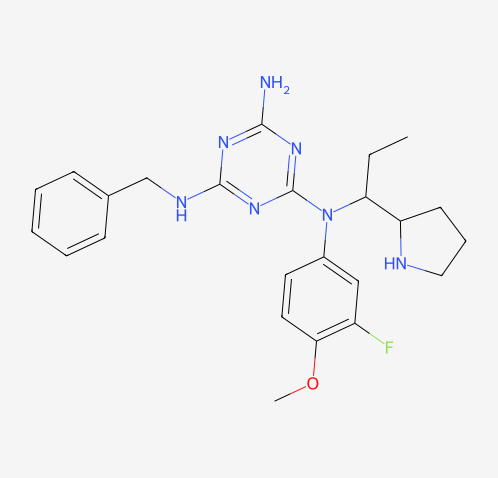 CCC(C1CCCN1)N(c1ccc(OC)c(F)c1)c1nc(N)nc(NCc2ccccc2)n1